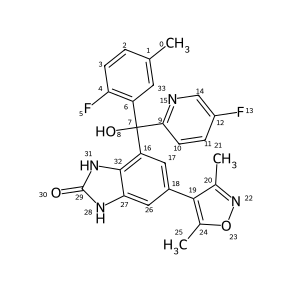 Cc1ccc(F)c(C(O)(c2ccc(F)cn2)c2cc(-c3c(C)noc3C)cc3[nH]c(=O)[nH]c23)c1